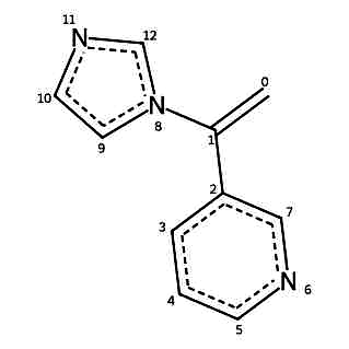 C=C(c1cccnc1)n1ccnc1